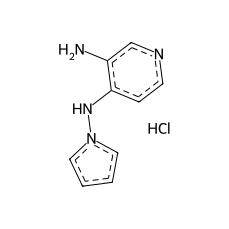 Cl.Nc1cnccc1Nn1cccc1